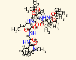 C=CCCC(NC(=O)[C@@H]1[C@H]2OC(C)(C)O[C@H]2CN1C(=O)[C@@H](NC(=O)OC(C)(C)C)C(C)(C)C)C(=O)C(=O)NCC(=O)N[C@H](C(=O)N(C)C)c1ccccc1